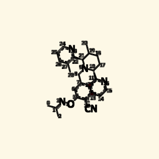 CC(C)=NOc1cc(CN2[C@H](c3ccccn3)CCC(C)[C@@H]2c2ncccc2C)ccc1C#N